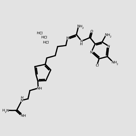 Cl.Cl.Cl.N=C(N)NCCNc1ccc(CCCCN=C(N)NC(=O)c2nc(Cl)c(N)nc2N)cc1